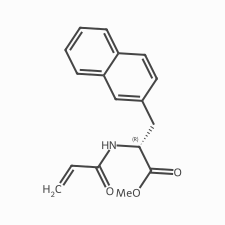 C=CC(=O)N[C@H](Cc1ccc2ccccc2c1)C(=O)OC